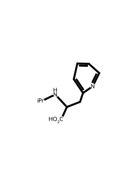 CC(C)NC(Cc1ccccn1)C(=O)O